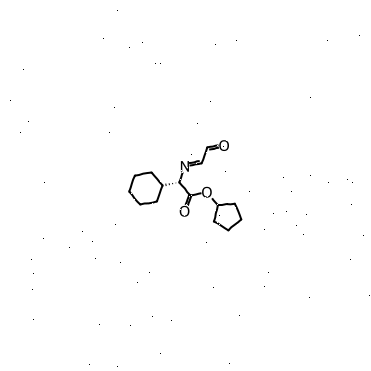 O=CC=N[C@H](C(=O)OC1CCCC1)C1CCCCC1